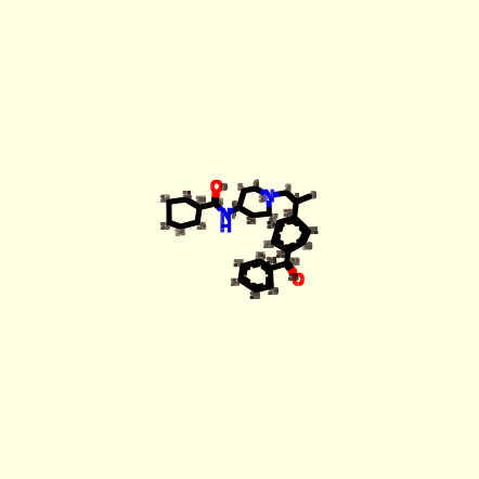 CC(CN1CCC(NC(=O)C2CCCCC2)CC1)c1ccc(C(=O)c2ccccc2)cc1